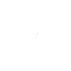 CCCCCC(O)CCCN(CCCCCCC(=O)OC)S(C)(=O)=O